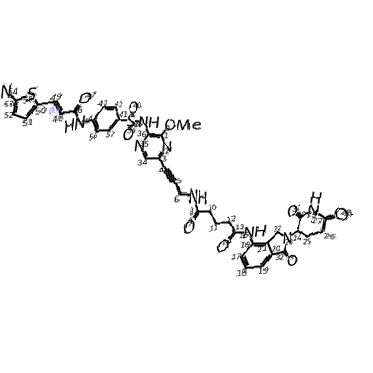 COc1nc(C#CCNC(=O)CCCC(=O)Nc2cccc3c2CN(C2CCC(=O)NC2=O)C3=O)cnc1NS(=O)(=O)c1ccc(NC(=O)/C=C/c2ccc([N+](=O)[O-])s2)cc1